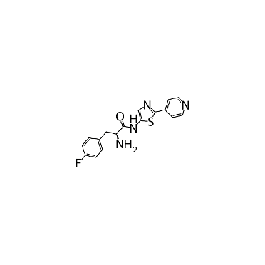 N[C@@H](Cc1ccc(F)cc1)C(=O)Nc1cnc(-c2ccncc2)s1